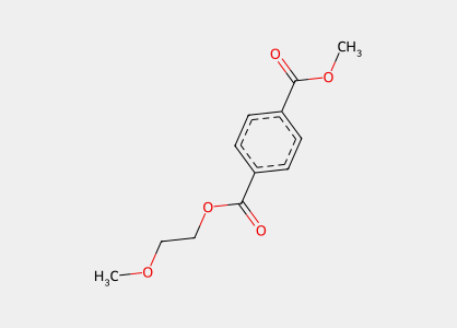 COCCOC(=O)c1ccc(C(=O)OC)cc1